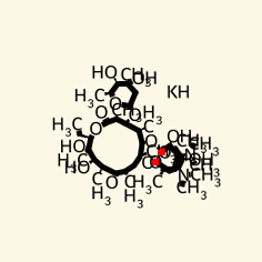 CC[C@H]1OC(=O)[C@H](C)[C@@H](O[C@H]2C[C@@](C)(O)[C@@H](O)[C@H](C)O2)[C@H](C)[C@@H](O[C@@H]2O[C@H](C)C[C@H](N(C)C)[C@H]2O)[C@](C)(O[C@H]2C[C@@H](N(C)C)[C@@H](O)[C@H](C)O2)C[C@@H](C)C(=O)[C@H](C)[C@@H](O)[C@]1(C)O.[KH]